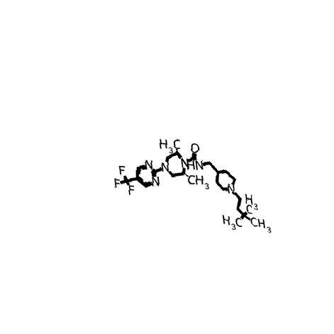 C[C@@H]1CN(c2ncc(C(F)(F)F)cn2)C[C@H](C)N1C(=O)NCC1CCN(CCC(C)(C)C)CC1